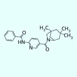 CC1(C)CC2CC(C)(CN2C(=O)c2ccc(NC(=O)c3ccccc3)nc2)C1